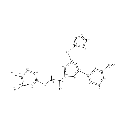 COc1cncc(-c2cc(Cn3ccnc3)cc(C(=O)NCc3ccc(Cl)c(Cl)c3)c2)c1